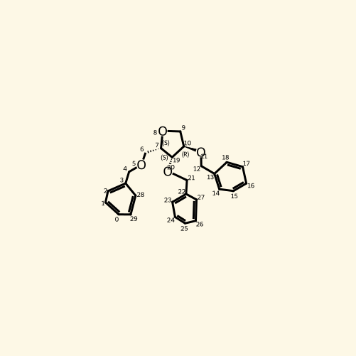 c1ccc(COC[C@@H]2OC[C@@H](OCc3ccccc3)[C@@H]2OCc2ccccc2)cc1